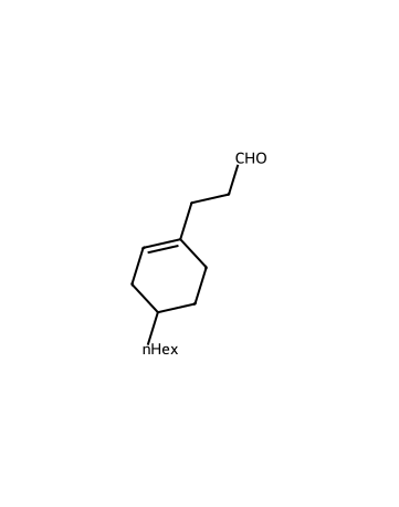 CCCCCCC1CC=C(CCC=O)CC1